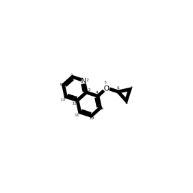 c1cnc2c(OC3CC3)cccc2c1